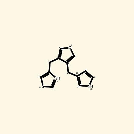 C1=[SH]C(Cc2cocc2Cc2cc[nH]c2)=CS1